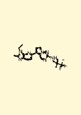 CCn1c(C)nc2ccc(-c3ccn4nc(NCC(C)(C)C(F)(F)F)ncc34)nc21